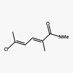 CNC(=O)/C(C)=C/C=C(\C)Cl